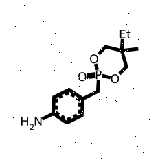 CCC1(C)COP(=O)(Cc2ccc(N)cc2)OC1